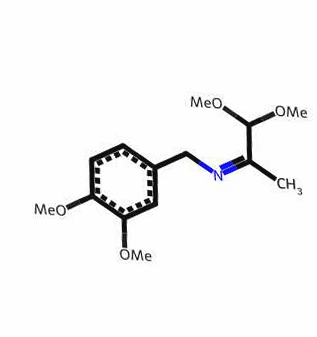 COc1ccc(CN=C(C)C(OC)OC)cc1OC